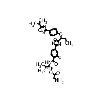 CCC(Oc1ccc(-c2noc(C(C)C)n2)cc1)c1nc(-c2ccc(C(=O)N[C@@H](COC(=O)CN)C(C)C)c(F)c2)no1